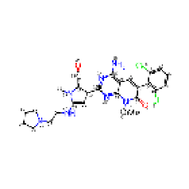 COn1c(=O)c(-c2c(Cl)cccc2Cl)cc2c(N)nc(C3C=C(NCCN4CCCC4)N(C)C3=C=O)nc21